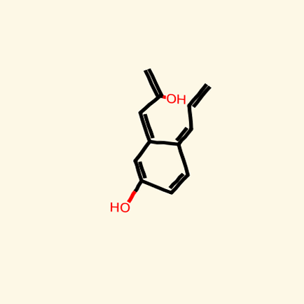 C=C/C=c1/ccc(O)c/c1=C/C(=C)O